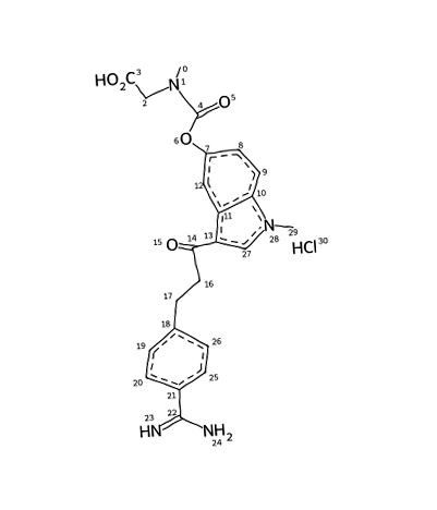 CN(CC(=O)O)C(=O)Oc1ccc2c(c1)c(C(=O)CCc1ccc(C(=N)N)cc1)cn2C.Cl